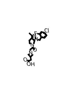 Cc1nn(Cc2ccc(Cl)cc2F)c2c1CCN(C(=O)CN1CC(CC(=O)O)C1)C2